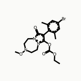 CCOC(=O)Oc1c(-c2c(C)cc(Br)cc2C)c(=O)n2n1CCN(OC)CC2